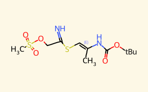 C/C(=C\SC(=N)COS(C)(=O)=O)NC(=O)OC(C)(C)C